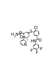 C=C1C[C@H](Sc2cc(C(=O)Nc3cc(F)c(F)c(F)c3)ccc2Cl)CC(C)[C@]1(OC(N)=O)c1cccnc1